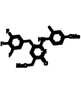 COCc1cn(Cc2cc(F)c(F)c(F)c2)c(Nc2ccc(OC)cc2C)nc1=O